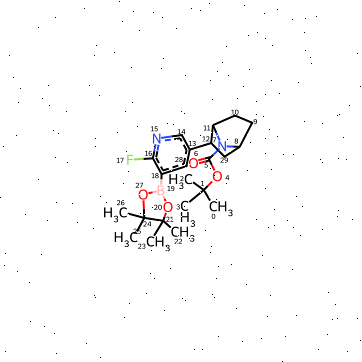 CC(C)(C)OC(=O)N1C2CCC1C(c1cnc(F)c(B3OC(C)(C)C(C)(C)O3)c1)C2